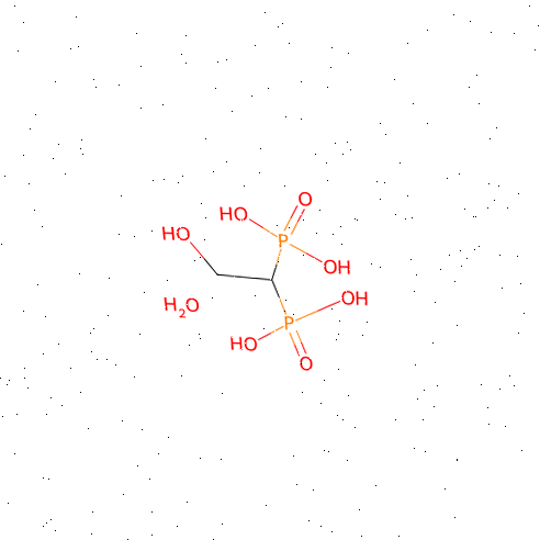 O.O=P(O)(O)C(CO)P(=O)(O)O